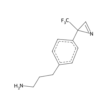 NCCCc1ccc(C2(C(F)(F)F)C=N2)cc1